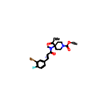 COC(=O)C1(N(C)C(=O)/C=C/c2ccc(F)c(Br)c2)CCN(C(=O)OC(C)(C)C)CC1